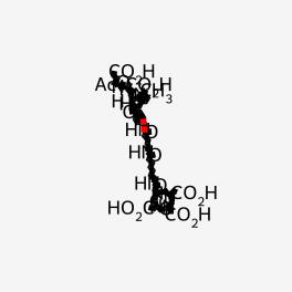 CC(=O)[C@@H](CCC(=O)O)NC(=O)N[C@H](CCCCN(Cc1ccc(C)nc1)C(=O)c1ccc(CNC(=O)CCCCNC(=O)CCCCCCNC(=O)CN2CCN(CC(=O)O)CCN(CC(=O)O)CCN(CC(=O)O)CC2)cc1)C(=O)O